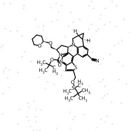 CC(C)(C)OC(=O)N1C[C@H](N2C[C@@H]3C[C@H]3c3cc(C#N)cc(-c4ccnc5cc(CO[Si](C)(C)C(C)(C)C)sc45)c32)C[C@@H]1CO[C@@H]1CCCCO1